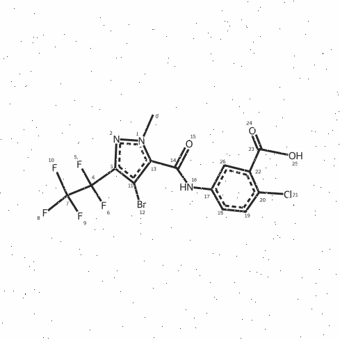 Cn1nc(C(F)(F)C(F)(F)F)c(Br)c1C(=O)Nc1ccc(Cl)c(C(=O)O)c1